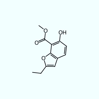 CCc1cc2ccc(O)c(C(=O)OC)c2o1